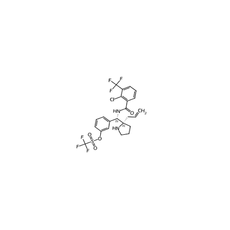 C=CC[C@]1([C@@H](NC(=O)c2cccc(C(F)(F)F)c2Cl)c2cccc(OS(=O)(=O)C(F)(F)F)c2)CCCN1